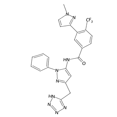 Cn1ccc(-c2cc(C(=O)Nc3cc(Cc4nnn[nH]4)nn3-c3ccccc3)ccc2C(F)(F)F)n1